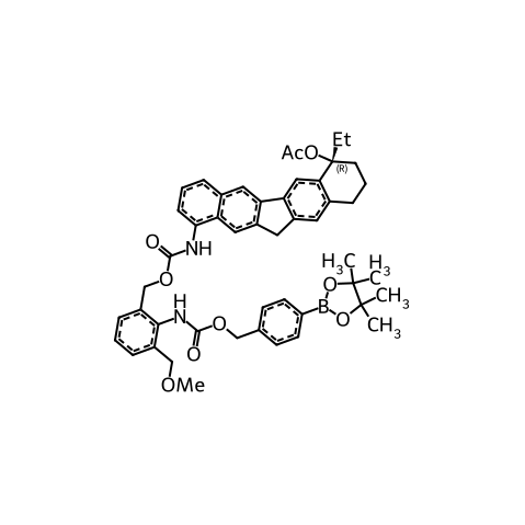 CC[C@@]1(OC(C)=O)CCCc2cc3c(cc21)-c1cc2cccc(NC(=O)OCc4cccc(COC)c4NC(=O)OCc4ccc(B5OC(C)(C)C(C)(C)O5)cc4)c2cc1C3